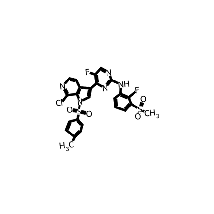 Cc1ccc(S(=O)(=O)n2cc(-c3nc(Nc4cccc(S(C)(=O)=O)c4F)ncc3F)c3ccnc(Cl)c32)cc1